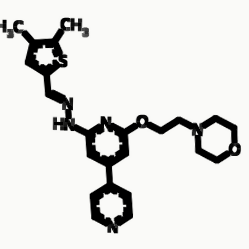 Cc1cc(C=NNc2cc(-c3ccncc3)cc(OCCN3CCOCC3)n2)sc1C